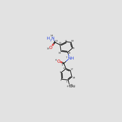 CC(C)(C)c1ccc(C(=O)Nc2cccc(C(N)=O)c2)cc1